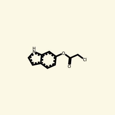 O=C(CCl)Oc1ccc2cc[nH]c2c1